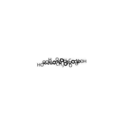 Cc1cc(CNC[C@@H](O)CC(=O)O)ccc1C(=O)N1CCc2c(-c3cccc4c3CCN4C(=O)c3ccc(CN4C[C@@H](O)CC4=O)cc3C)cccc21